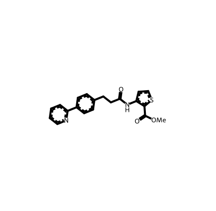 COC(=O)c1sccc1NC(=O)CCc1ccc(-c2ccccn2)cc1